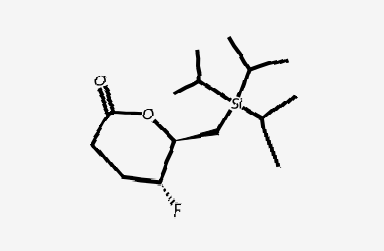 CC(C)[Si](C[C@@H]1OC(=O)CC[C@H]1F)(C(C)C)C(C)C